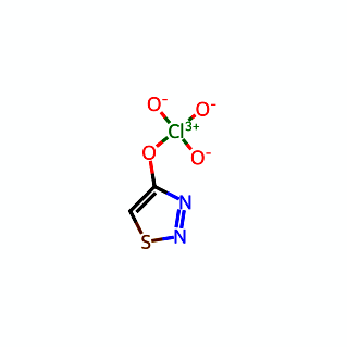 [O-][Cl+3]([O-])([O-])Oc1csnn1